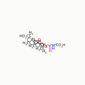 CC1(C)C2CC[C@]3(C)[C@H](C(=O)C=C4[C@@H]5C[C@@](C)(C(=O)O)CC[C@]5(C)CC[C@]43C)[C@@]2(C)CC[C@@H]1OCC(O)CNCC(=O)O